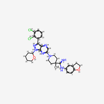 CC1(C(=N)Nc2ccc3c(c2)CCO3)CCN(c2cnc3c(-c4cccc(Cl)c4Cl)nn(C4CCCCO4)c3n2)CC1